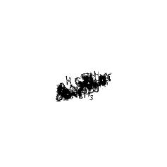 Cc1c(CN(C)CC(O)c2ccc3c(c2)OCCO3)sc2c(=O)c(C(=O)NCc3ccc(Cl)cc3)cn(C)c12